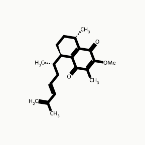 C=C(C)/C=C/C[C@H](C)[C@H]1CC[C@H](C)C2=C1C(=O)C(C)=C(OC)C2=O